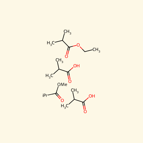 CC(C)C(=O)O.CC(C)C(=O)O.CCOC(=O)C(C)C.COC(=O)C(C)C